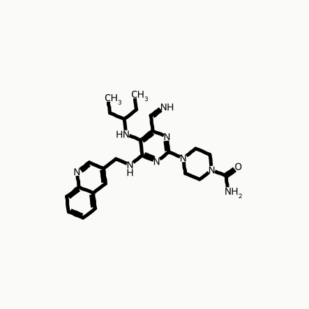 CCC(CC)Nc1c(C=N)nc(N2CCN(C(N)=O)CC2)nc1NCc1cnc2ccccc2c1